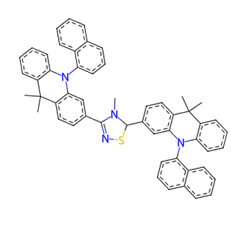 CN1C(c2ccc3c(c2)N(c2cccc4ccccc24)c2ccccc2C3(C)C)=NSC1c1ccc2c(c1)N(c1cccc3ccccc13)c1ccccc1C2(C)C